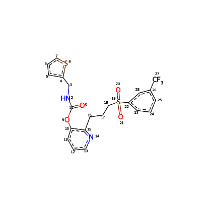 O=C(NCc1cccs1)Oc1cccnc1CCCS(=O)(=O)c1cccc(C(F)(F)F)c1